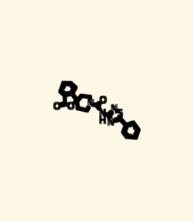 O=C1OC2(CCN(C(=O)Nc3nsc(-c4ccccc4)n3)CC2)c2ccccc21